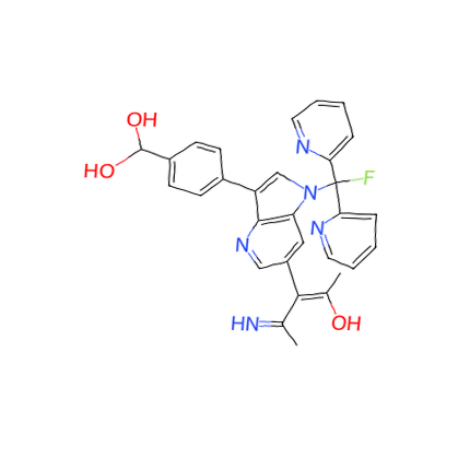 CC(=N)/C(=C(/C)O)c1cnc2c(-c3ccc(C(O)O)cc3)cn(C(F)(c3ccccn3)c3ccccn3)c2c1